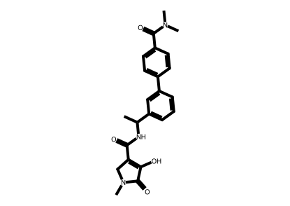 CC(NC(=O)C1=C(O)C(=O)N(C)C1)c1cccc(-c2ccc(C(=O)N(C)C)cc2)c1